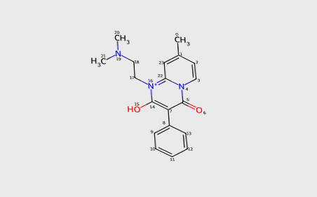 Cc1ccn2c(=O)c(-c3ccccc3)c(O)[n+](CCN(C)C)c2c1